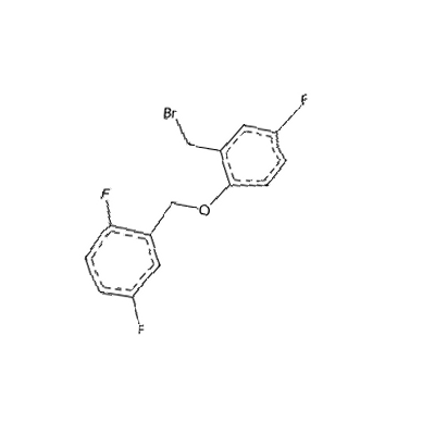 Fc1ccc(F)c(COc2ccc(F)cc2CBr)c1